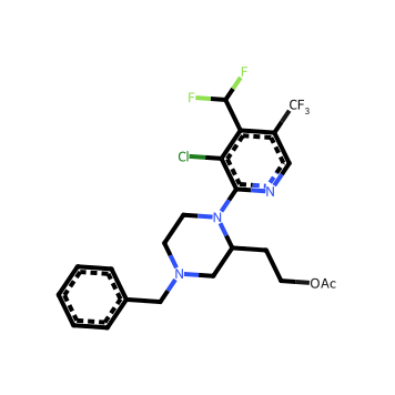 CC(=O)OCCC1CN(Cc2ccccc2)CCN1c1ncc(C(F)(F)F)c(C(F)F)c1Cl